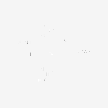 COCCOc1cc(Nc2cc(NC(C)=O)ncc2-c2ccn(C)n2)cc(S(C)(=O)=O)c1